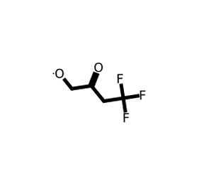 [O]CC(=O)CC(F)(F)F